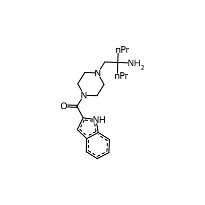 CCCC(N)(CCC)CN1CCN(C(=O)c2cc3ccccc3[nH]2)CC1